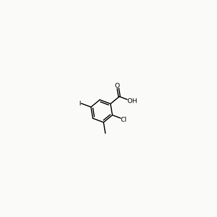 Cc1cc(I)cc(C(=O)O)c1Cl